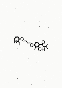 Cc1c(OCCCCOc2cccnc2I)ccc(C(=O)CC(C)C)c1O